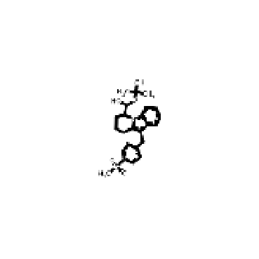 CC(C)(C)OC(O)C1CCCc2c(Cc3ccc(S(C)(=O)=O)cc3)c3ccccc3n21